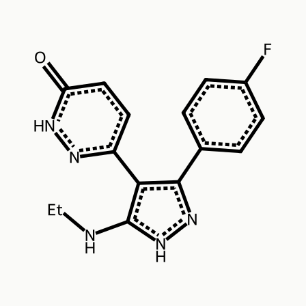 CCNc1[nH]nc(-c2ccc(F)cc2)c1-c1ccc(=O)[nH]n1